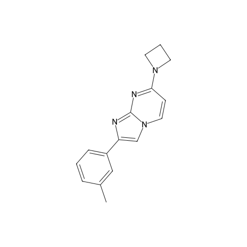 Cc1cccc(-c2cn3ccc(N4CCC4)nc3n2)c1